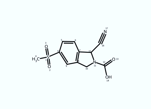 CS(=O)(=O)c1ccc2c(c1)CN(C(=O)O)C2C#N